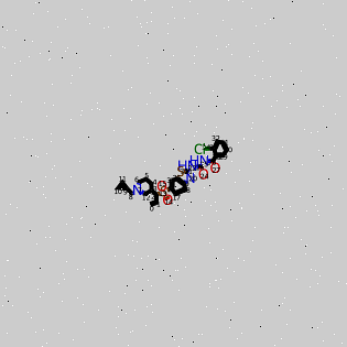 C=CC(C1CCCN(CC2CC2)C1)S(=O)(=O)c1ccc2nc(NC(=O)NC(=O)c3ccccc3Cl)sc2c1